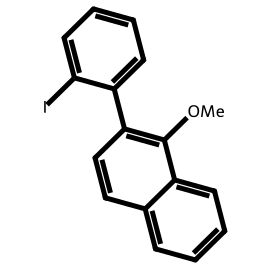 COc1c(-c2ccccc2I)ccc2ccccc12